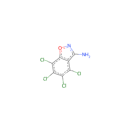 Nc1noc2c(Cl)c(Cl)c(Cl)c(Cl)c12